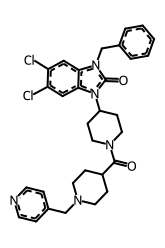 O=C(C1CCN(Cc2ccncc2)CC1)N1CCC(n2c(=O)n(Cc3ccccc3)c3cc(Cl)c(Cl)cc32)CC1